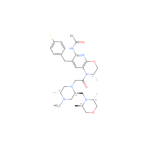 CCC(=O)Nc1nc2c(cc1Cc1ccc(F)cc1)N(C(=O)CN1C[C@@H](C)N(C(=O)O)C[C@@H]1CN1[C@H](C)COC[C@H]1C)[C@@H](C)CO2